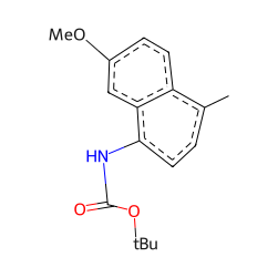 COc1ccc2c(C)ccc(NC(=O)OC(C)(C)C)c2c1